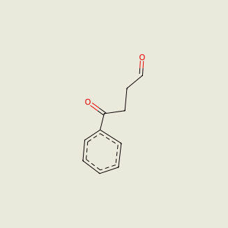 O=CCCC(=O)c1ccccc1